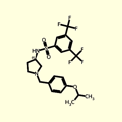 CC(C)Oc1ccc(CN2CC[C@@H](NS(=O)(=O)c3cc(C(F)(F)F)cc(C(F)(F)F)c3)C2)cc1